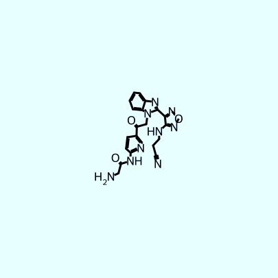 N#CCCNc1nonc1-c1nc2ccccc2n1CC(=O)c1ccc(NC(=O)CN)nc1